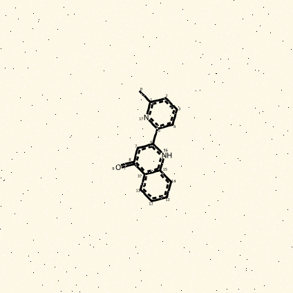 Cc1cccc(-c2cc(=O)c3ccccc3[nH]2)n1